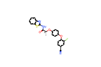 C[C@@H](Oc1ccc(Oc2ccc(C#N)cc2F)cc1)C(=O)Nc1nc2ccccc2s1